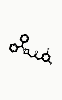 O=C(Cc1cc(F)cc(F)c1)CC1CN(C(c2ccccc2)c2ccccc2)C1